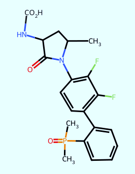 CC1CC(NC(=O)O)C(=O)N1c1ccc(-c2ccccc2P(C)(C)=O)c(F)c1F